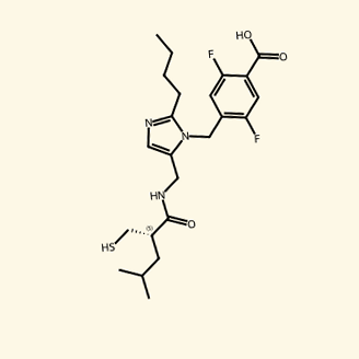 CCCCc1ncc(CNC(=O)[C@@H](CS)CC(C)C)n1Cc1cc(F)c(C(=O)O)cc1F